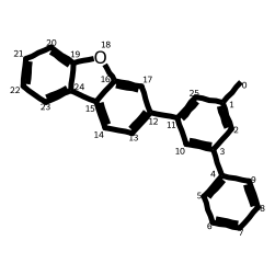 Cc1cc(-c2ccccc2)cc(-c2ccc3c(c2)oc2ccccc23)c1